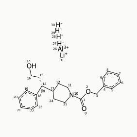 O=C(OCc1ccccc1)N1CCC([C@@H](CCO)c2ccccc2)CC1.[Al+3].[H-].[H-].[H-].[H-].[Li+]